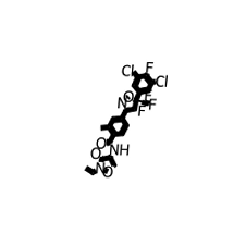 CCN1OCC(NC(=O)c2ccc(C3=NO[C@@](c4cc(Cl)c(F)c(Cl)c4)(C(F)(F)F)C3)cc2C)C1=O